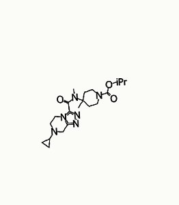 CC(C)OC(=O)N1CCC(C)(N(C)C(=O)c2nnc3n2CCN(C2CC2)C3)CC1